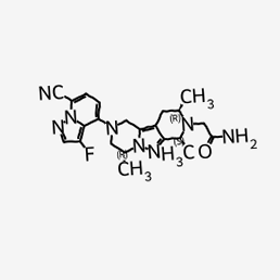 C[C@@H]1Cc2c(nn3c2CN(c2ccc(C#N)n4ncc(F)c24)C[C@H]3C)[C@H](C)N1CC(N)=O